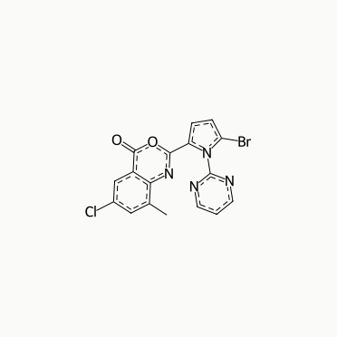 Cc1cc(Cl)cc2c(=O)oc(-c3ccc(Br)n3-c3ncccn3)nc12